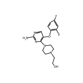 Nc1ncc(Oc2ccc(F)cc2F)c(N2CCN(CCO)CC2)n1